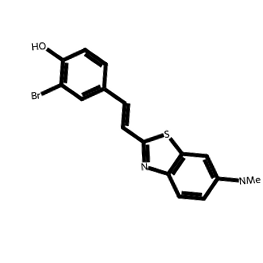 CNc1ccc2nc(C=Cc3ccc(O)c(Br)c3)sc2c1